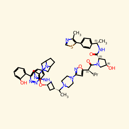 Cc1ncsc1-c1ccc([C@H](C)NC(=O)[C@@H]2C[C@@H](O)CN2C(=O)[C@H](c2cc(N3CCN(C(C)[C@H]4C[C@H](Oc5cc(N6C7CCC6CN(c6cc(-c8ccccc8O)nnc6N)C7)ccn5)C4)CC3)no2)C(C)C)cc1